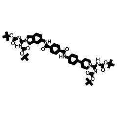 CC(C)(C)OC(=O)/N=C(/NC(=O)OC(C)(C)C)N1CC=C(c2ccc(NC(=O)c3ccc(C(=O)Nc4ccc5c(c4)CN(/C(=N/C(=O)OC(C)(C)C)NC(=O)OC(C)(C)C)C5)cc3)cc2)CC1